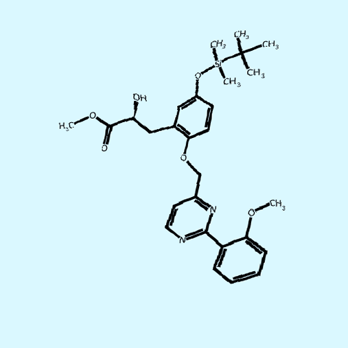 COC(=O)[C@@H](O)Cc1cc(O[Si](C)(C)C(C)(C)C)ccc1OCc1ccnc(-c2ccccc2OC)n1